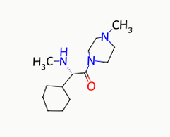 CN[C@H](C(=O)N1CCN(C)CC1)C1CCCCC1